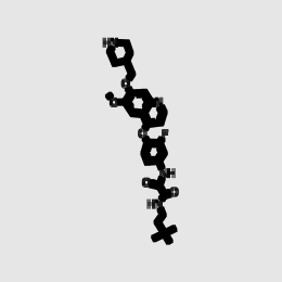 COc1cc2c(Oc3ccc(NC(=O)C(=O)NCCC(C)(C)C)cc3F)ccnc2cc1OCC1CCNCC1